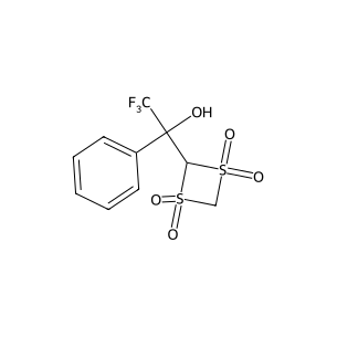 O=S1(=O)CS(=O)(=O)C1C(O)(c1ccccc1)C(F)(F)F